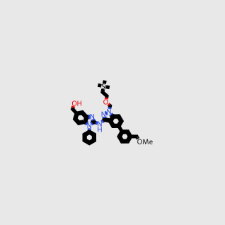 COCc1cccc(-c2ccc3c(c2)c(Nc2nc4cc(CO)ccc4n2-c2ccccc2)nn3COCC[Si](C)(C)C)c1